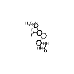 Cn1cc(-c2cc3c(cc2C(F)F)N(c2cccc4c2NCC(=O)N4)CCC3)cn1